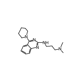 CN(C)CCCNc1nc(N2CCCCC2)c2ccccc2n1